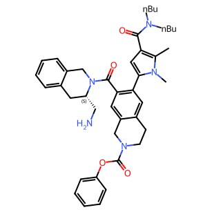 CCCCN(CCCC)C(=O)c1cc(-c2cc3c(cc2C(=O)N2Cc4ccccc4C[C@H]2CN)CN(C(=O)Oc2ccccc2)CC3)n(C)c1C